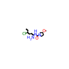 C=C/C(Cl)=C\C=C(/N)NC(=O)N1CC[C@@H](OC)C1